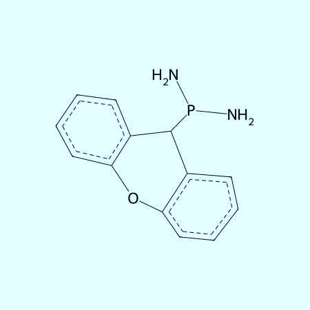 NP(N)C1c2ccccc2Oc2ccccc21